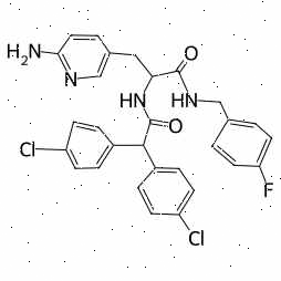 Nc1ccc(CC(NC(=O)C(c2ccc(Cl)cc2)c2ccc(Cl)cc2)C(=O)NCc2ccc(F)cc2)cn1